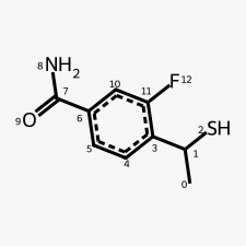 CC(S)c1ccc(C(N)=O)cc1F